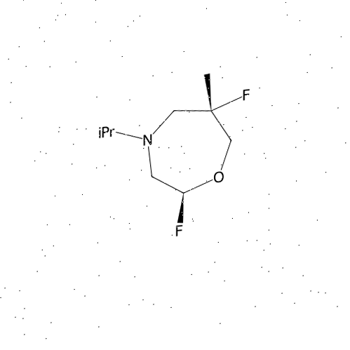 CC(C)N1C[C@H](F)OC[C@@](C)(F)C1